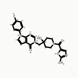 Cc1ncc(C(=O)N2CCC(O)(Cn3cnc4c(ccn4-c4ccc(F)cc4)c3=O)CC2)o1